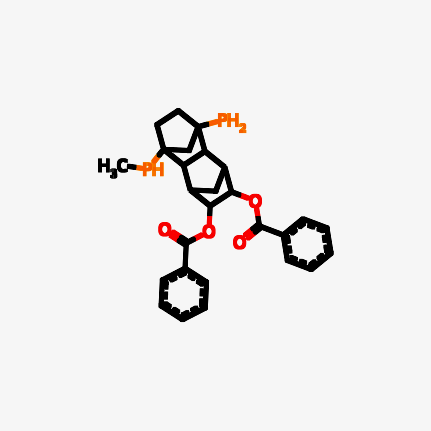 CPC12CCC(P)(C1)C1C3CC(C(OC(=O)c4ccccc4)C3OC(=O)c3ccccc3)C12